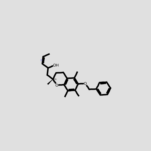 C/C=C\C(O)C[C@]1(C)CCc2c(C)c(OCc3ccccc3)c(C)c(C)c2O1